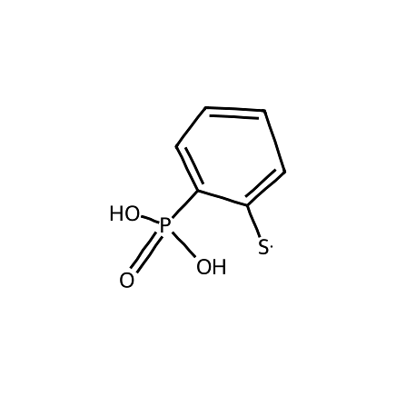 O=P(O)(O)c1ccccc1[S]